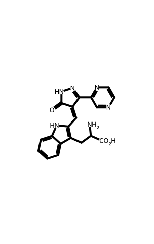 NC(Cc1c(C=C2C(=O)NN=C2c2cnccn2)[nH]c2ccccc12)C(=O)O